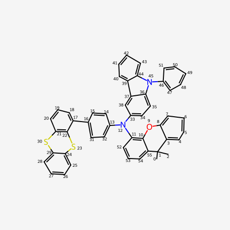 CC1(C)c2ccccc2Oc2c(N(c3ccc(-c4cccc5c4Sc4ccccc4S5)cc3)c3ccc4c(c3)c3ccccc3n4-c3ccccc3)cccc21